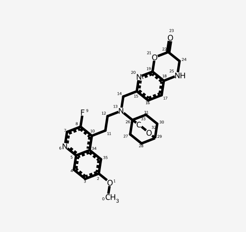 COc1ccc2ncc(F)c(CCN(Cc3ccc4c(n3)OC(=O)CN4)C34CCC(CC3)OC4)c2c1